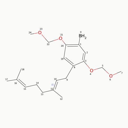 Bc1cc(OCOC)c(C/C=C(\C)CCC=C(C)C)cc1OCOC